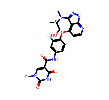 CC(C)n1cc(C(=O)Nc2ccc(Oc3ccnc4[nH]nc(N(C)[C@H](C)CO)c34)c(F)c2)c(=O)[nH]c1=O